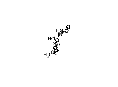 CCOC(=O)c1ccc(S(=O)(=O)c2ccc(CCNC[C@@H](O)c3cccc(Cl)c3)cc2)cc1F.Cl